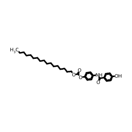 CCCCCCCCCCCCCCCCCOC(=O)Oc1ccc(NC(=O)c2ccc(O)cc2)cc1